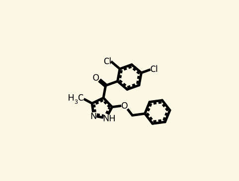 Cc1n[nH]c(OCc2ccccc2)c1C(=O)c1ccc(Cl)cc1Cl